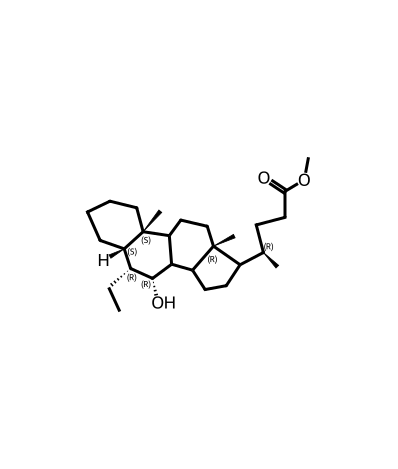 CC[C@H]1[C@@H](O)C2C3CCC([C@H](C)CCC(=O)OC)[C@@]3(C)CCC2[C@@]2(C)CCCC[C@@H]12